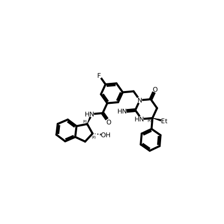 CC[C@]1(c2ccccc2)CC(=O)N(Cc2cc(F)cc(C(=O)N[C@@H]3c4ccccc4C[C@H]3O)c2)C(=N)N1